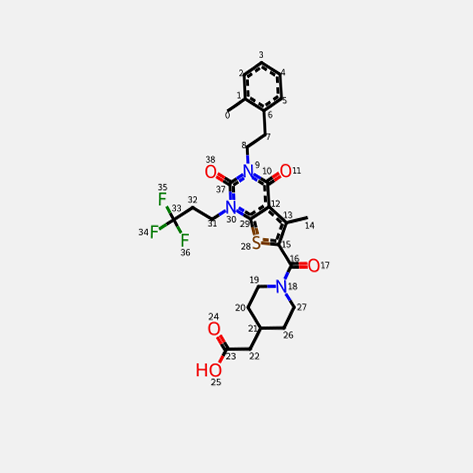 Cc1ccccc1CCn1c(=O)c2c(C)c(C(=O)N3CCC(CC(=O)O)CC3)sc2n(CCC(F)(F)F)c1=O